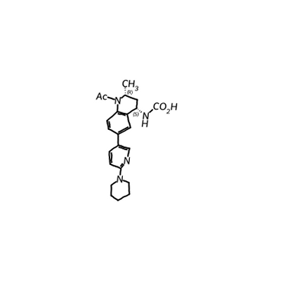 CC(=O)N1c2ccc(-c3ccc(N4CCCCC4)nc3)cc2[C@@H](NC(=O)O)C[C@H]1C